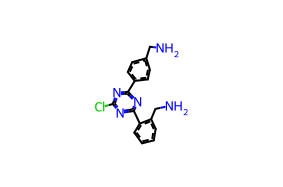 NCc1ccc(-c2nc(Cl)nc(-c3ccccc3CN)n2)cc1